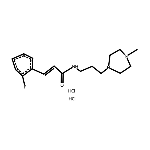 CN1CCN(CCCNC(=O)C=Cc2ccccc2F)CC1.Cl.Cl